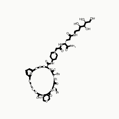 CC[C@H](C)[C@@H]1NC(=O)[C@H](CC(C)C)NC(=O)C2(CCOCC2)NC(O)CCSCc2cccc(n2)CSC[C@@H](C(=O)NC2CCN(CC(=O)N[C@H](CCC(=O)NCC[C@@H](O)[C@H](O)[C@H](O)CO)C(N)=O)CC2)NC1=O